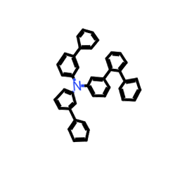 c1ccc(-c2cccc(N(c3cccc(-c4ccccc4)c3)c3cccc(-c4ccccc4-c4ccccc4)c3)c2)cc1